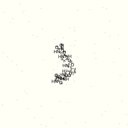 C1CCSC1.C1COCCN1.C1COOOC1.C1NCNCN1.O=C1CCNC(=O)N1.O=C1CNC(=O)N1.O=C1NCCNC1=O